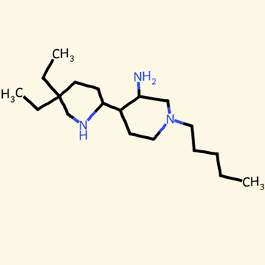 CCCCCN1CCC(C2CCC(CC)(CC)CN2)C(N)C1